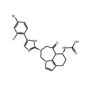 O=C(O)N[C@H]1CCc2ccn3c2C1C(=O)C[C@H](c1ncc(-c2ccc(Br)cc2F)[nH]1)C3